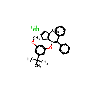 COc1cc([O][Ti]([C]2=C(C)C=CC2)=[C](c2ccccc2)c2ccccc2)cc(C(C)(C)C)c1.Cl.Cl